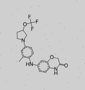 Cc1cc(N2CCC(OC(F)(F)F)C2)ccc1Nc1ccc2c(c1)OCC(=O)N2